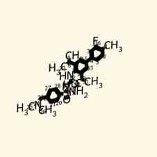 Cc1ccc(-c2cc(C(C)C)c(NC(=O)N=S(N)(=O)c3ccc(CN(C)C)cc3)c(C(C)C)c2)cc1F